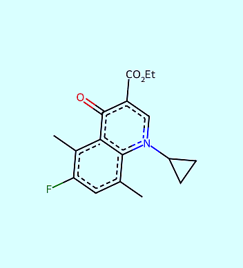 CCOC(=O)c1cn(C2CC2)c2c(C)cc(F)c(C)c2c1=O